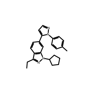 CCc1nn(C2CCCC2)c2cc(-c3ccnn3-c3ccc(C)cc3)ccc12